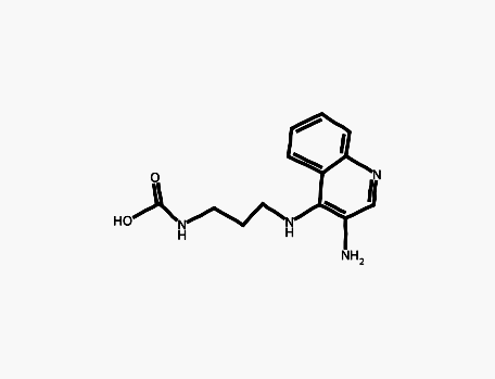 Nc1cnc2ccccc2c1NCCCNC(=O)O